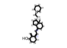 C=C1/C(=C\C=C2/CCCC3(C)C2CC[C@@H]3CCN2CCCCC2)CCC[C@@H]1O